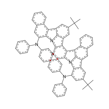 CC(C)(C)c1cc(N(c2ccccc2)c2ccccc2)c2c(c1)c1cc3ccccc3c3c4c5c6cc(C(C)(C)C)cc7c8c9ccccc9cc(N(c9ccccc9)c9ccccc9)c8n(c5ncc4n2c13)c67